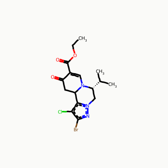 CCOC(=O)C1=CN2C(CC1=O)c1c(Cl)c(Br)nn1C[C@H]2C(C)C